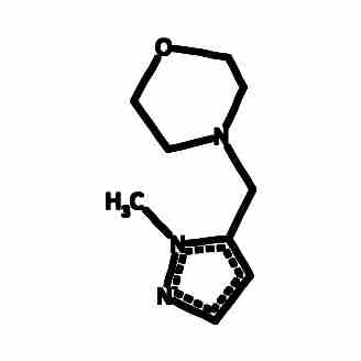 Cn1nccc1CN1CCOCC1